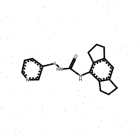 O=C(NSc1cccnc1)Nc1c2c(cc3c1CCC3)CCC2